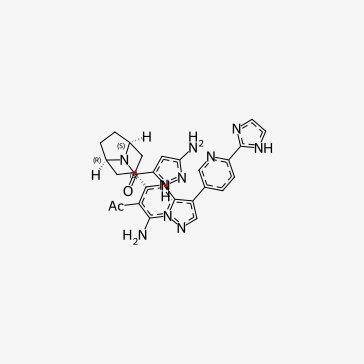 CC(=O)c1c([C@@H]2C[C@H]3CC[C@@H](C2)N3C(=O)c2cc(N)n[nH]2)nc2c(-c3ccc(-c4ncc[nH]4)nc3)cnn2c1N